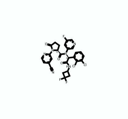 N#Cc1ccnc(N2C(=O)CC[C@H]2C(=O)N(c2cncc(F)c2)[C@H](C(=O)NC2CC(F)(F)C2)c2cccc(Cl)c2Cl)c1